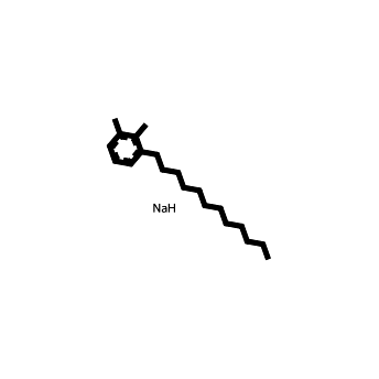 CCCCCCCCCCCCc1cccc(C)c1C.[NaH]